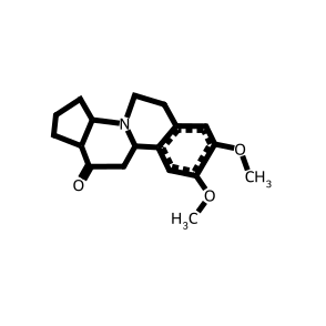 COc1cc2c(cc1OC)C1CC(=O)C3CCCC3N1CC2